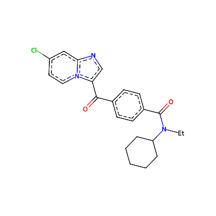 CCN(C(=O)c1ccc(C(=O)c2cnc3cc(Cl)ccn23)cc1)C1CCCCC1